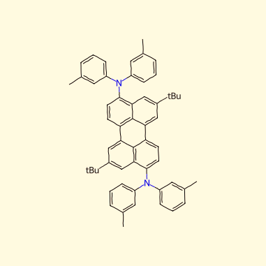 Cc1cccc(N(c2cccc(C)c2)c2ccc3c4cc(C(C)(C)C)cc5c(N(c6cccc(C)c6)c6cccc(C)c6)ccc(c6cc(C(C)(C)C)cc2c36)c54)c1